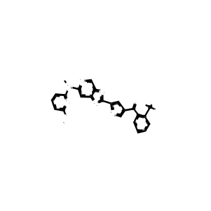 COc1cccc(N(C)c2cc3[nH]c(-c4cc(C(=O)c5ccccc5C(F)(F)F)c[nH]4)nc3cn2)n1